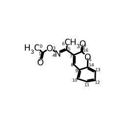 CC(=O)ON=C(C)c1cc2ccccc2oc1=O